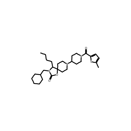 CCCCC1N(CC2CCCCC2)C(=O)OC12CCN(C1CCN(C(=O)c3ccc(C)s3)CC1)CC2